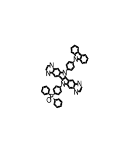 O=P(c1ccccc1)(c1ccccc1)c1ccc(-n2c3cc4nccnc4cc3c3c2c2cc4nccnc4cc2n3-c2ccc(-n3c4ccccc4c4ccccc43)cc2)cc1